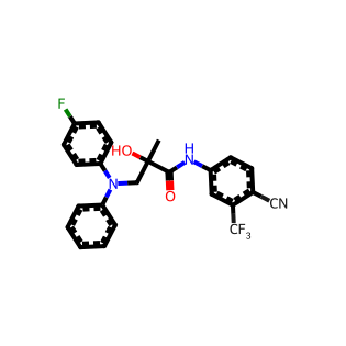 CC(O)(CN(c1ccccc1)c1ccc(F)cc1)C(=O)Nc1ccc(C#N)c(C(F)(F)F)c1